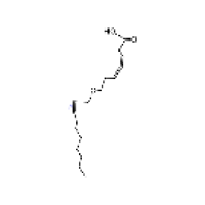 CCCCCCC/C=C\COCCC=C=CCC(=O)O